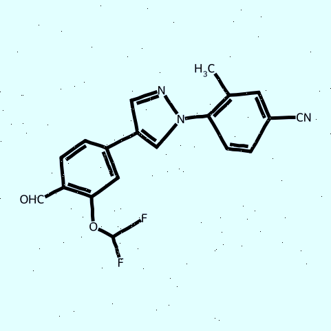 Cc1cc(C#N)ccc1-n1cc(-c2ccc(C=O)c(OC(F)F)c2)cn1